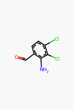 Nc1c([C]=O)ccc(Cl)c1Cl